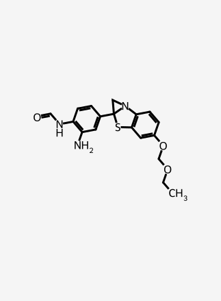 CCOCOc1ccc2c(c1)SC1(c3ccc(NC=O)c(N)c3)CN21